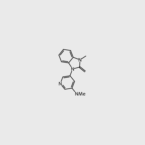 C=C1N(C)c2ccccc2N1c1cncc(NC)c1